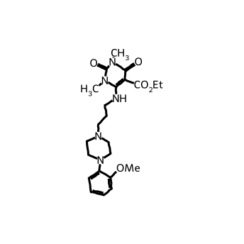 CCOC(=O)c1c(NCCCN2CCN(c3ccccc3OC)CC2)n(C)c(=O)n(C)c1=O